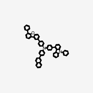 c1ccc(-c2cccc3c2oc2ccc(-c4ccc(N(c5ccc(-c6ccc7ccccc7c6)cc5)c5ccc(-c6cccc7c6c6ccccc6n7-c6ccccc6)cc5)cc4)cc23)cc1